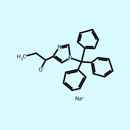 CCC([O-])c1cn(C(c2ccccc2)(c2ccccc2)c2ccccc2)cn1.[Na+]